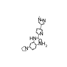 Cn1cc(-c2ccc(C(=O)Nc3cc(N4CCCC4)ccc3N)nc2)cn1